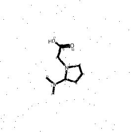 CN(C)C1CCCN1CC(=O)O